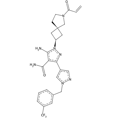 C=CC(=O)N1CC[C@]2(C1)C[C@H](n1nc(-c3cnn(Cc4cccc(C(F)(F)F)c4)c3)c(C(N)=O)c1N)C2